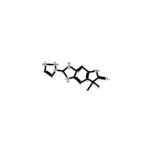 CC1(C)C(=O)Nc2cc3c(cc21)NC(N1C=CNN1)N3